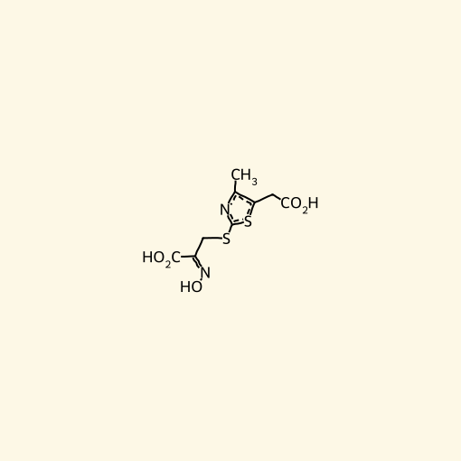 Cc1nc(SCC(=NO)C(=O)O)sc1CC(=O)O